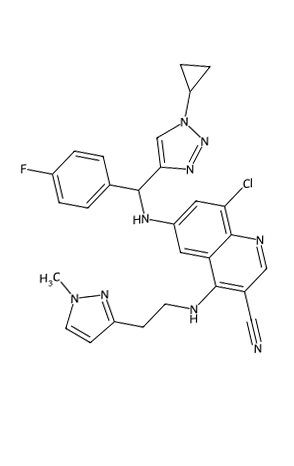 Cn1ccc(CCNc2c(C#N)cnc3c(Cl)cc(NC(c4ccc(F)cc4)c4cn(C5CC5)nn4)cc23)n1